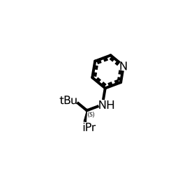 CC(C)[C@H](Nc1cccnc1)C(C)(C)C